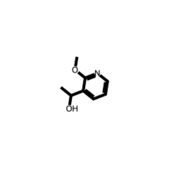 COc1ncccc1C(C)O